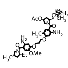 CC[C@@H]1C[C@@H](C)CN1C(=O)c1cc(OC)c(OCCCOc2cc(N)c(C(=O)N3C[C@H](OC(C)=O)C[C@H]3CO[Si](C)(C)C(C)(C)C)cc2C)cc1N